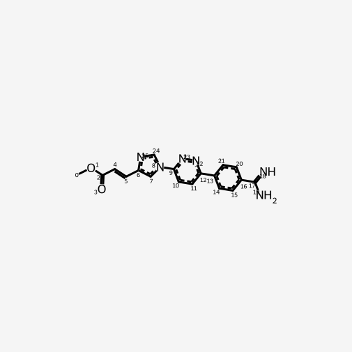 COC(=O)/C=C/c1cn(-c2ccc(-c3ccc(C(=N)N)cc3)nn2)cn1